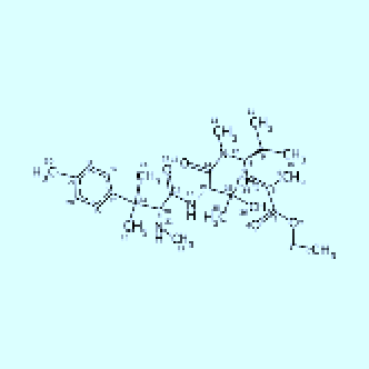 CCOC(=O)/C(C)=C/[C@H](C(C)C)N(C)C(=O)[C@@H](NC(=O)[C@H](NC)C(C)(C)c1ccc(C)cc1)C(C)(C)C